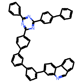 c1ccc(-c2ccc(-c3nc(-c4ccccc4)nc(-c4ccc(-c5cccc(-c6cccc(-c7ccc8c(c7)ncc7ccccc78)c6)c5)cc4)n3)cc2)cc1